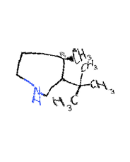 C[C@@H]1CCCNCC1C(C)(C)C